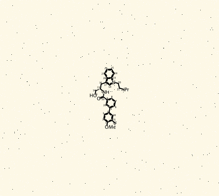 COc1ccc(-c2cccc(C(=O)N[C@@H](CO)Cc3cn(CCC(C)C)c4ccccc34)c2)cc1F